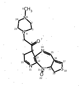 CN1CCN(CC(=O)C2CC=NC3=C2N=CC2=CSCC2[N+]3=O)CC1